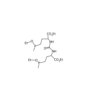 CCOC(=O)C(CCP(C)OCC)NC(=O)NC(CCP(C)OCC)C(=O)OCC